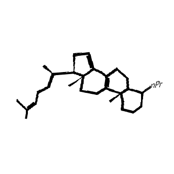 CCCC1CCC[C@]2(C)C3=C(CCC12)C1=CC[C@H]([C@H](C)CCC=C(C)C)[C@@]1(C)CC3